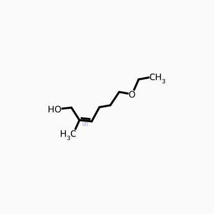 CCOCCC/C=C(/C)CO